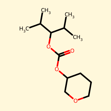 CC(C)C(OC(=O)OC1CCCOC1)C(C)C